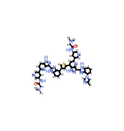 Cc1cn(-c2cccc3[nH]c(-c4n[nH]c5c(-c6cc(-c7cccc8[nH]c(-c9n[nH]c%10ccc(-c%11cncc(NC(=O)CN(C)C)c%11)nc9%10)nc78)cs6)cc(-c6cncc(NC(=O)CN(C)C)c6)nc45)nc23)cn1